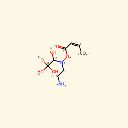 NCCN(OC(=O)/C=C\C(=O)O)C(O)C(O)(O)O